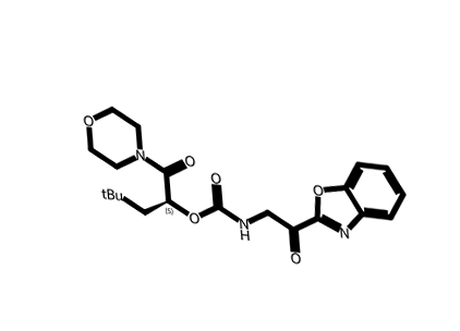 CC(C)(C)C[C@H](OC(=O)NCC(=O)c1nc2ccccc2o1)C(=O)N1CCOCC1